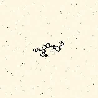 Cc1ccc(NC(=O)c2cccc(-c3nnco3)c2)cc1-c1cc2[nH]cnc2c(N2CCOCC2)n1